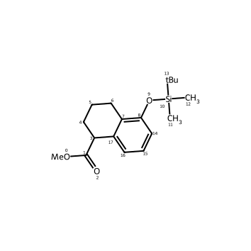 COC(=O)C1CCCc2c(O[Si](C)(C)C(C)(C)C)cccc21